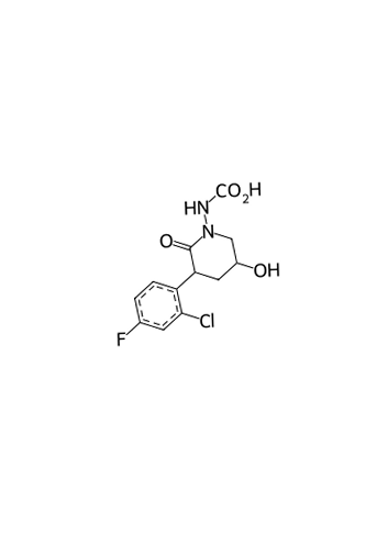 O=C(O)NN1CC(O)CC(c2ccc(F)cc2Cl)C1=O